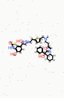 CN(CCc1cnc(C(O)(c2ccccc2)C2CCCCC2)o1)Cc1ccc(CCNC[C@H](O)c2ccc(O)c3[nH]c(=O)sc23)s1